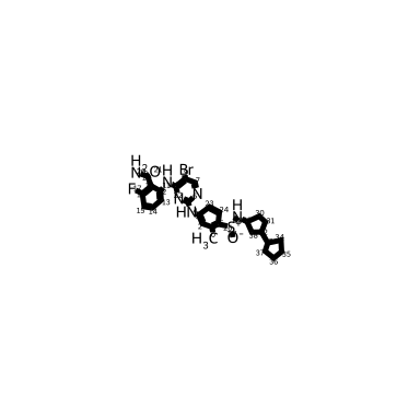 Cc1cc(Nc2ncc(Br)c(Nc3cccc(F)c3C(N)=O)n2)ccc1[S+]([O-])NC1CCC(C2CCCC2)C1